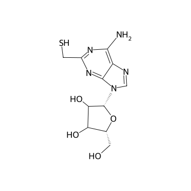 Nc1nc(CS)nc2c1ncn2[C@@H]1O[C@H](CO)C(O)C1O